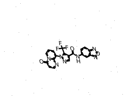 O=C(Nc1ccc2nonc2c1)c1cnn(-c2cccn3c(=O)ccnc23)c1C(F)(F)F